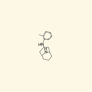 Cc1ccccc1NC1CC2CCCC(C1)N2